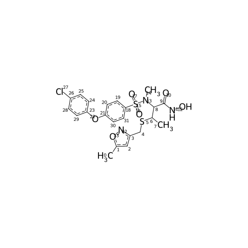 Cc1cc(CSC(C)C(C(=O)NO)N(C)S(=O)(=O)c2ccc(Oc3ccc(Cl)cc3)cc2)no1